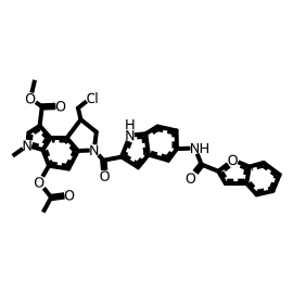 COC(=O)c1cn(C)c2c(OC(C)=O)cc3c(c12)C(CCl)CN3C(=O)c1cc2cc(NC(=O)c3cc4ccccc4o3)ccc2[nH]1